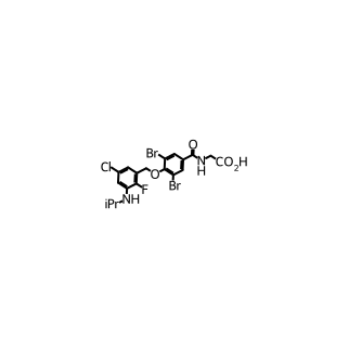 CC(C)Nc1cc(Cl)cc(COc2c(Br)cc(C(=O)NCC(=O)O)cc2Br)c1F